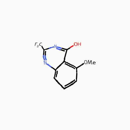 COc1cccc2nc(C(F)(F)F)nc(O)c12